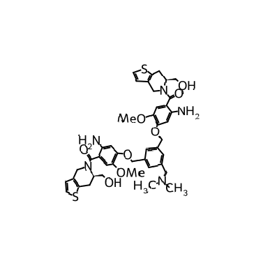 COc1cc(C(=O)N2Cc3ccsc3C[C@H]2CO)c(N)cc1OCc1cc(COc2cc(N)c(C(=O)N3Cc4ccsc4C[C@@H]3CO)cc2OC)cc(CN(C)C)c1